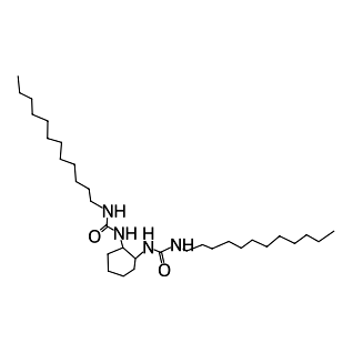 CCCCCCCCCCCCNC(=O)NC1CCCCC1NC(=O)NCCCCCCCCCCCC